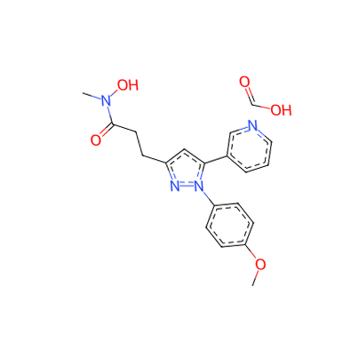 COc1ccc(-n2nc(CCC(=O)N(C)O)cc2-c2cccnc2)cc1.O=CO